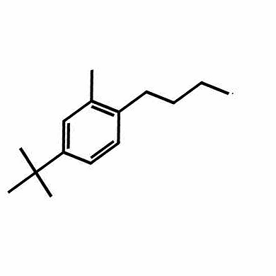 [CH2]CCCc1ccc(C(C)(C)C)cc1C